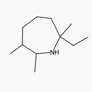 CCC1(C)CCCC(C)C(C)N1